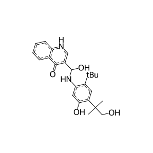 CC(C)(C)c1cc(C(C)(C)CO)c(O)cc1NC(O)c1c[nH]c2ccccc2c1=O